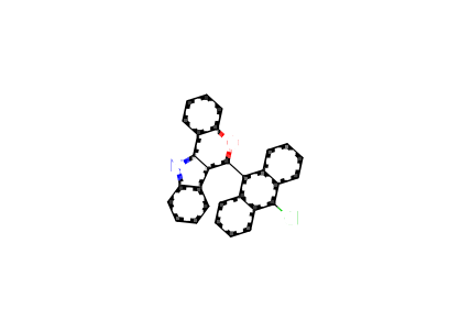 Clc1c2ccccc2c(-c2oc3ccccc3c3nc4ccccc4c2-3)c2ccccc12